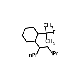 CCCC(CC(C)C)C1CCCCC1C(C)(C)F